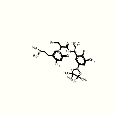 Cc1cc(B2OC(C)(C)C(C)(C)O2)cc([C@H](CC(=O)O)NC(=O)C(CC(C)C)n2cc(CCN(C)C)c(C(F)(F)F)cc2=O)c1F